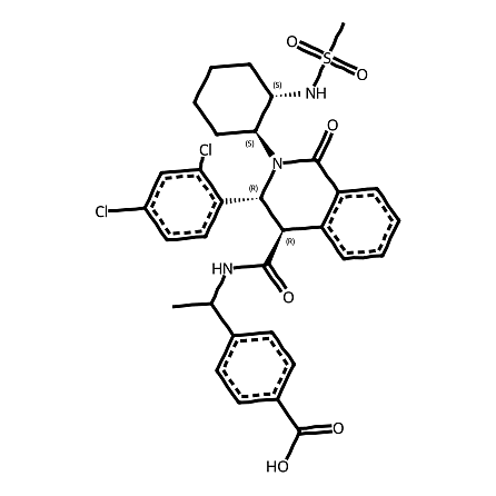 CC(NC(=O)[C@@H]1c2ccccc2C(=O)N([C@H]2CCCC[C@@H]2NS(C)(=O)=O)[C@H]1c1ccc(Cl)cc1Cl)c1ccc(C(=O)O)cc1